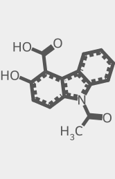 CC(=O)n1c2ccccc2c2c(C(=O)O)c(O)ccc21